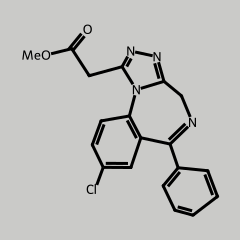 COC(=O)Cc1nnc2n1-c1ccc(Cl)cc1C(c1ccccc1)=NC2